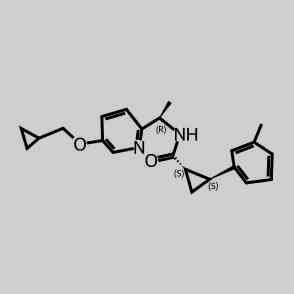 Cc1cccc([C@H]2C[C@@H]2C(=O)N[C@H](C)c2ccc(OCC3CC3)cn2)c1